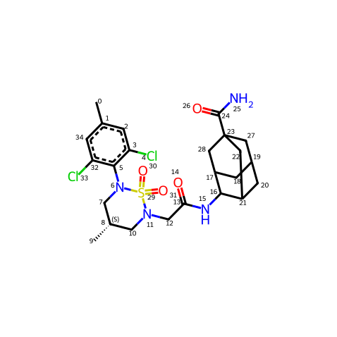 Cc1cc(Cl)c(N2C[C@@H](C)CN(CC(=O)NC3C4CC5CC3CC(C(N)=O)(C5)C4)S2(=O)=O)c(Cl)c1